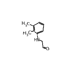 Cc1cccc(NCC=O)c1C